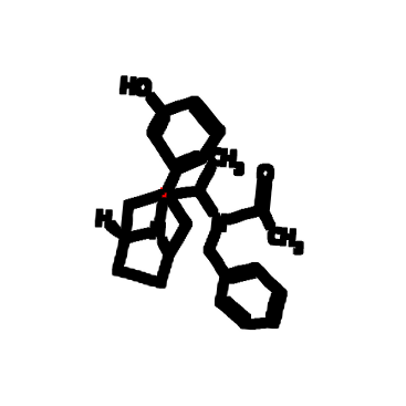 CC(=O)N(Cc1ccccc1)C(C)CN1C2CC[C@@H]1CC(c1cccc(O)c1)C2